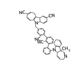 CC12C=NCC=CC1N(c1ccccc1-c1cccc(-c3ccc(CN4C5=C(CC=C(C#N)C=C5)C5C=C(C#N)C=CC54)cc3C#N)c1C#N)C1=C2C=CCC1